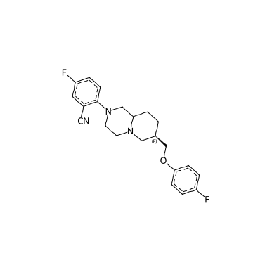 N#Cc1cc(F)ccc1N1CCN2C[C@H](COc3ccc(F)cc3)CCC2C1